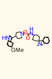 COc1ccc2[nH]cc(C3CCN(OC(=O)NC4CCC(c5ccccc5)(N(C)C)CC4)CC3)c2c1